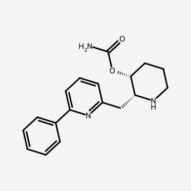 NC(=O)O[C@@H]1CCCN[C@@H]1Cc1cccc(-c2ccccc2)n1